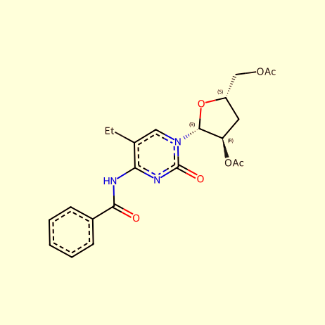 CCc1cn([C@@H]2O[C@H](COC(C)=O)C[C@H]2OC(C)=O)c(=O)nc1NC(=O)c1ccccc1